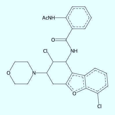 CC(=O)Nc1ccccc1C(=O)NC1c2c(oc3c(Cl)cccc23)CC(N2CCOCC2)C1Cl